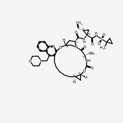 C=C[C@@H]1C[C@]1(NC(=O)[C@@H]1C[C@@H]2CN1C(=O)[C@H](C(C)(C)C)NC(=O)O[C@@H]1C[C@H]1CCCCCc1c(nc3ccccc3c1CN1CCOCC1)O2)C(=O)NS(=O)(=O)C1(C)CC1